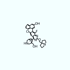 OCC12CCC(CNC1)N2c1nc(OCC23CCCN2CCC3)nc2c(F)c(-c3cc(O)cc4ccccc34)c(Cl)cc12